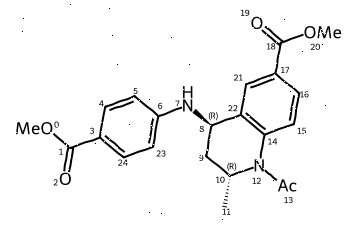 COC(=O)c1ccc(N[C@@H]2C[C@@H](C)N(C(C)=O)c3ccc(C(=O)OC)cc32)cc1